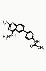 CC(=O)Nc1ccc(-c2ccc3nc(N)nc(NN)c3c2)cn1